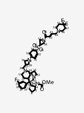 COC(=O)N[C@H]1CCC[C@@H]1[C@](CN1CCC1)(c1cccc(F)c1)C1CCN(CC2CN(c3ccc(S(=O)(=O)C4CN(C(=O)/C=C/CN5CCC(F)(F)CC5)C4)cc3)C2)CC1